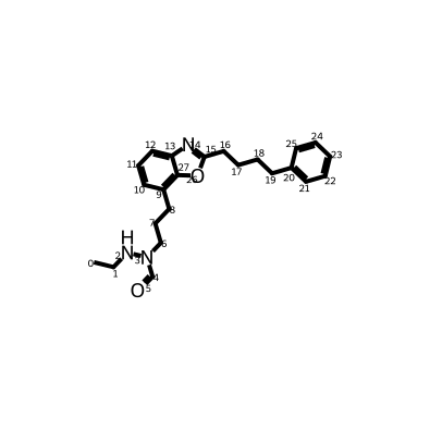 CCNN(C=O)CCCc1cccc2nc(CCCCc3ccccc3)oc12